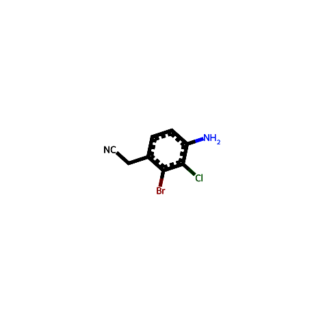 N#CCc1ccc(N)c(Cl)c1Br